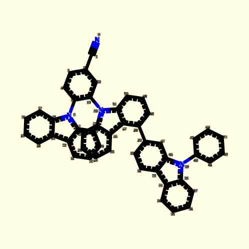 N#Cc1ccc(-n2c3ccccc3c3ccccc32)c(-n2c3ccccc3c3c(-c4ccc5c6ccccc6n(-c6ccccc6)c5c4)cccc32)c1